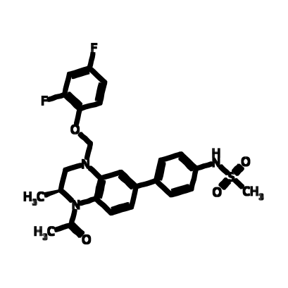 CC(=O)N1c2ccc(-c3ccc(NS(C)(=O)=O)cc3)cc2N(COc2ccc(F)cc2F)C[C@@H]1C